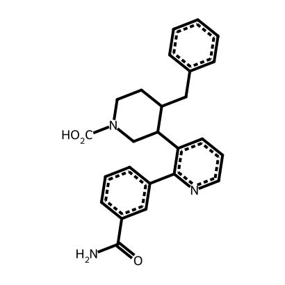 NC(=O)c1cccc(-c2ncccc2C2CN(C(=O)O)CCC2Cc2ccccc2)c1